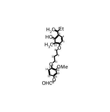 C=C(CC)c1ccc(OCCCCOc2ccc(OC=O)cc2OC)c(C)c1O